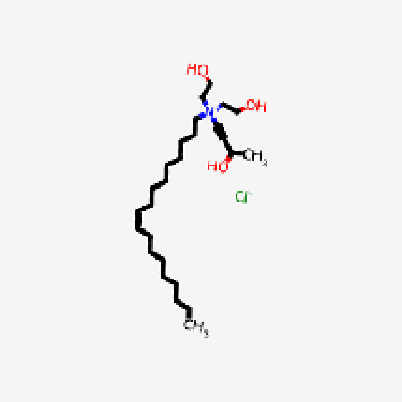 CCCCCCCC/C=C\CCCCCCCC[N+](C#CC(C)O)(CCO)CCO.[Cl-]